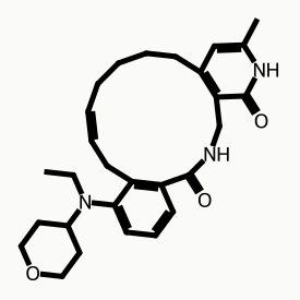 CCN(c1cccc2c1CC=CCCCCc1cc(C)[nH]c(=O)c1CNC2=O)C1CCOCC1